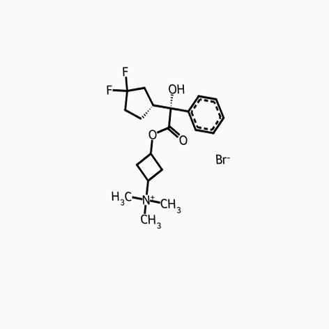 C[N+](C)(C)C1CC(OC(=O)[C@](O)(c2ccccc2)[C@@H]2CCC(F)(F)C2)C1.[Br-]